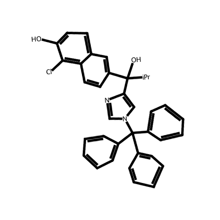 CC(C)C(O)(c1ccc2c(Cl)c(O)ccc2c1)c1cn(C(c2ccccc2)(c2ccccc2)c2ccccc2)cn1